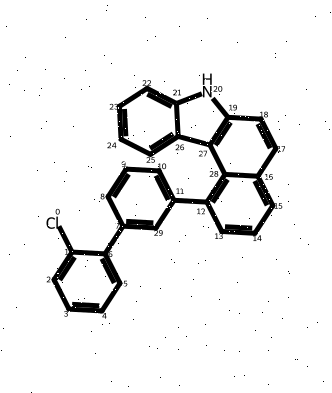 Clc1ccccc1-c1cccc(-c2cccc3ccc4[nH]c5ccccc5c4c23)c1